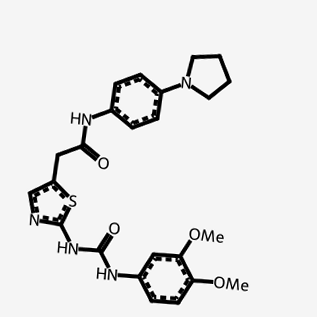 COc1ccc(NC(=O)Nc2ncc(CC(=O)Nc3ccc(N4CCCC4)cc3)s2)cc1OC